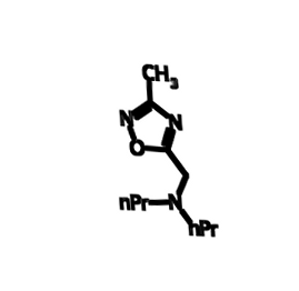 CCCN(CCC)Cc1nc(C)no1